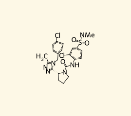 CNS(=O)(=O)c1ccc(NC(=O)N2CCC[C@@H]2c2nnc(C)n2Cc2ccc(Cl)cc2)c(Cl)c1